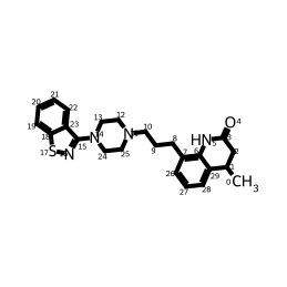 CC1CC(=O)Nc2c(CCCN3CCN(c4nsc5ccccc45)CC3)cccc21